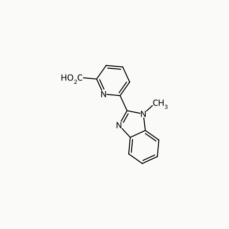 Cn1c(-c2cccc(C(=O)O)n2)nc2ccccc21